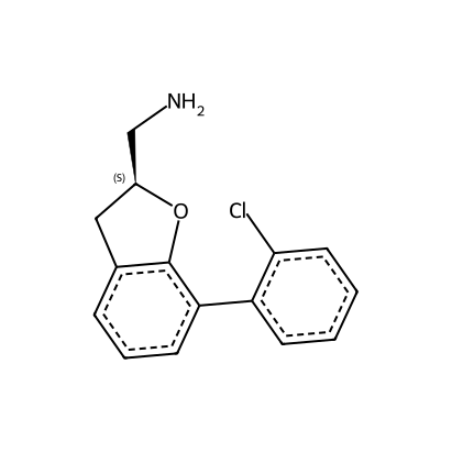 NC[C@@H]1Cc2cccc(-c3ccccc3Cl)c2O1